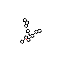 c1ccc(-c2ccc(N(c3ccc(-c4ccc5c(ccc6ccccc65)c4)cc3)c3cc(-c4ccc5ccccc5c4)ccc3-c3ccccc3)cc2)cc1